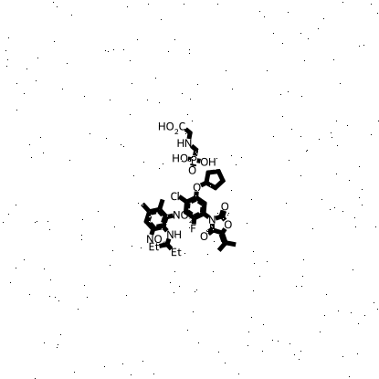 CC(C)=C1OC(=O)N(c2cc(OC3CCCC3)c(Cl)cc2F)C1=O.CCC(CC)Nc1c([N+](=O)[O-])cc(C)c(C)c1[N+](=O)[O-].O=C(O)CNCP(=O)(O)O